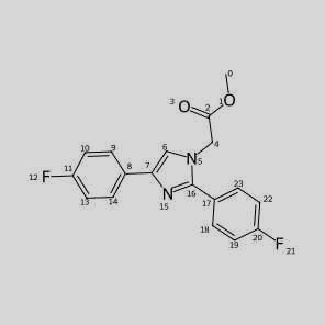 COC(=O)Cn1cc(-c2ccc(F)cc2)nc1-c1ccc(F)cc1